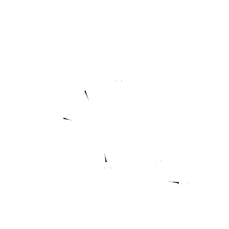 CCC1O[C@@H](O)C(C)[C@H](C)[C@@H]1O[C@@H]1OC(COCc2ccccc2)[C@H](C)[C@H](C)C1OC(C)=O